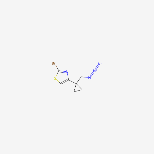 [N-]=[N+]=NCC1(c2csc(Br)n2)CC1